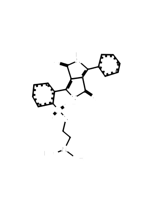 CN(C)CCNS(=O)(=O)c1ccccc1C1=C2C(=O)NC(c3ccccc3)=C2C(=O)N1